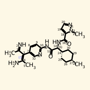 CC(=N)/C(=C(/C)N)c1ccc(NC(=O)[C@@H](NC(=O)c2ccnn2C)[C@H]2CC[C@H](C)CC2)nc1